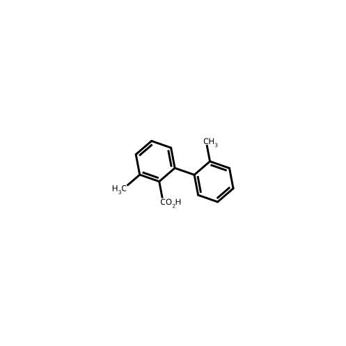 Cc1ccccc1-c1cccc(C)c1C(=O)O